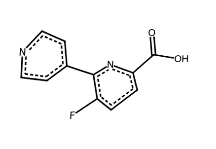 O=C(O)c1ccc(F)c(-c2ccncc2)n1